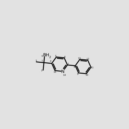 BC(C)(C)c1ccc(-c2ccccc2)nc1